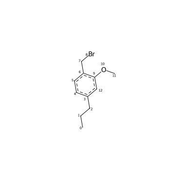 CCCc1ccc(CBr)c(OC)c1